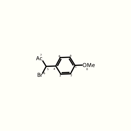 COc1ccc(C(Br)C(C)=O)cc1